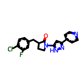 O=C1C(Cc2ccc(Cl)c(F)c2)CCN1c1cc(-c2ccncc2)n[nH]1